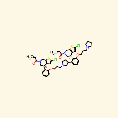 C=CC(=O)N1Cc2sc(Cl)cc2[C@@H](c2ccccc2OCCCN2CCC(c3cccc(OCCCN4CCCC4)c3[C@@H]3CN(C(=O)C=C)Cc4sc(Cl)cc43)C2)C1